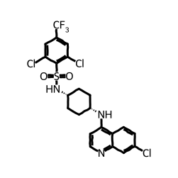 O=S(=O)(N[C@H]1CC[C@@H](Nc2ccnc3cc(Cl)ccc23)CC1)c1c(Cl)cc(C(F)(F)F)cc1Cl